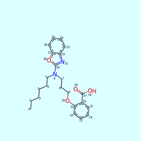 CCCCCCN(CCCOc1ccccc1C(=O)O)c1nc2ccccc2o1